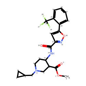 COC(=O)C1CN(CC2CC2)CCC1NC(=O)c1cc(-c2ccccc2C(F)(F)F)on1